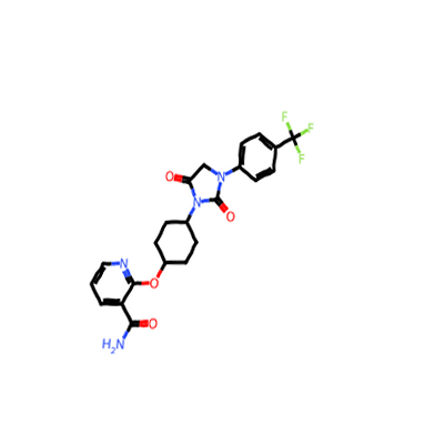 NC(=O)c1cccnc1OC1CCC(N2C(=O)CN(c3ccc(C(F)(F)F)cc3)C2=O)CC1